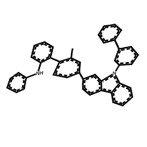 Cc1cc(-c2ccc3c4ccccc4n(-c4cccc(-c5ccccc5)c4)c3c2)ccc1-c1ccccc1Nc1ccccc1